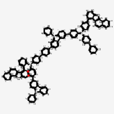 c1ccc(-c2ccc(N(c3ccc(-c4ccc5c(c4)c4ccc(-c6ccc(-c7ccc(N(c8ccc(-c9ccc%10c(c9)c9ccccc9n%10-c9ccccc9)cc8)c8ccccc8-c8cccc9oc%10c%11ccccc%11ccc%10c89)cc7)cc6)cc4n5-c4ccccc4)cc3)c3ccc(-c4cccc5oc6c7ccccc7ccc6c45)cc3)cc2)cc1